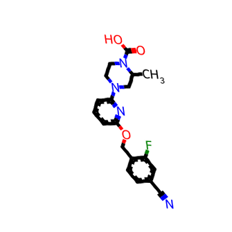 CC1CN(c2cccc(OCc3ccc(C#N)cc3F)n2)CCN1C(=O)O